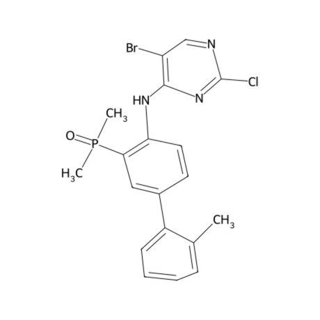 Cc1ccccc1-c1ccc(Nc2nc(Cl)ncc2Br)c(P(C)(C)=O)c1